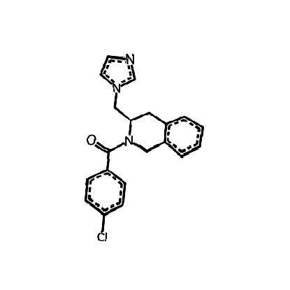 O=C(c1ccc(Cl)cc1)N1Cc2ccccc2CC1Cn1ccnc1